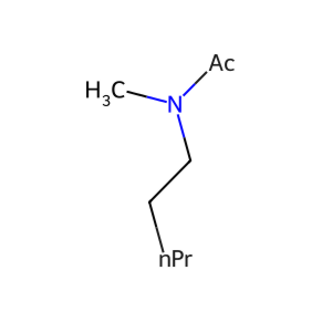 C[CH]CCCN(C)C(C)=O